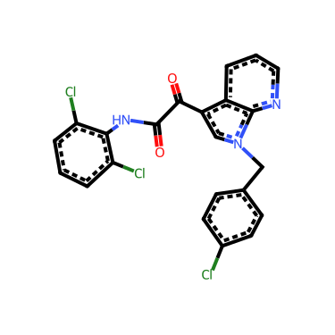 O=C(Nc1c(Cl)cccc1Cl)C(=O)c1cn(Cc2ccc(Cl)cc2)c2ncccc12